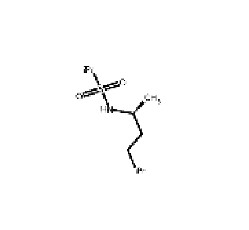 CC(C)CC[C@H](C)NS(=O)(=O)C(C)C